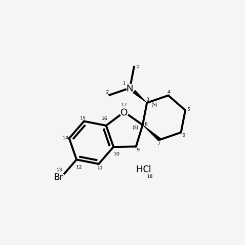 CN(C)[C@H]1CCCC[C@]12Cc1cc(Br)ccc1O2.Cl